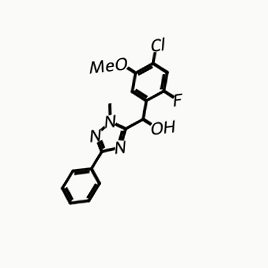 COc1cc(C(O)c2nc(-c3ccccc3)nn2C)c(F)cc1Cl